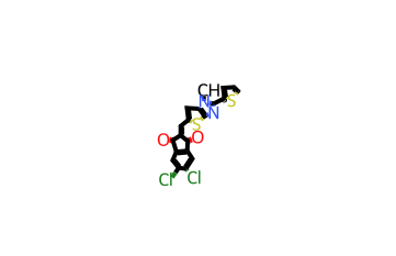 Cn1c(-c2cccs2)nc2sc(C=C3C(=O)c4cc(Cl)c(Cl)cc4C3=O)cc21